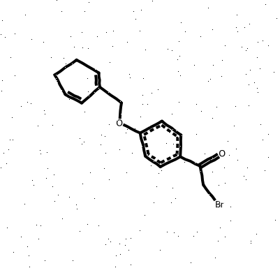 O=C(CBr)c1ccc(OCC2=CCCC=C2)cc1